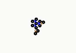 c1ccc(N(c2ccccc2)c2cc(N(c3ccccc3)c3ccc(-c4cccc5c4sc4ccccc45)cc3)cc(N(c3ccccc3)c3cccc4c3sc3ccccc34)c2)cc1